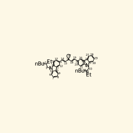 CCCCC(CC)Cn1c2ccccc2c2cc(C=CC(=O)C=Cc3ccc4c(c3)c3ccccc3n4CC(CC)CCCC)ccc21